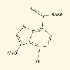 COC(=O)c1ccc(Cl)c2c(OC)csc12